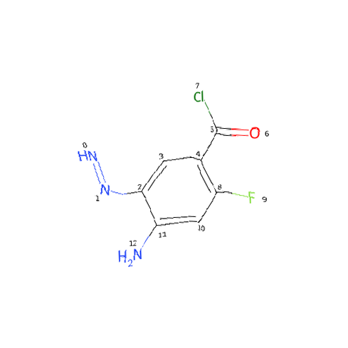 N=Nc1cc(C(=O)Cl)c(F)cc1N